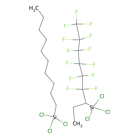 CCC(C(F)(F)C(F)(F)C(F)(F)C(F)(F)C(F)(F)C(F)(F)F)[Si](Cl)(Cl)Cl.CCCCCCCCCC[Si](Cl)(Cl)Cl